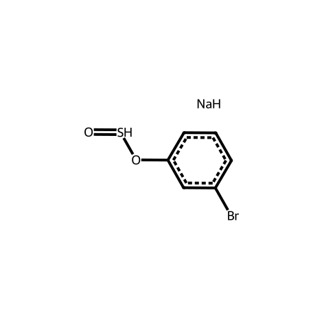 O=[SH]Oc1cccc(Br)c1.[NaH]